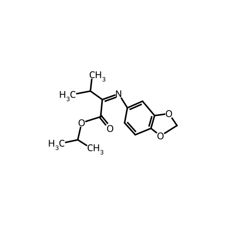 CC(C)OC(=O)/C(=N\c1ccc2c(c1)OCO2)C(C)C